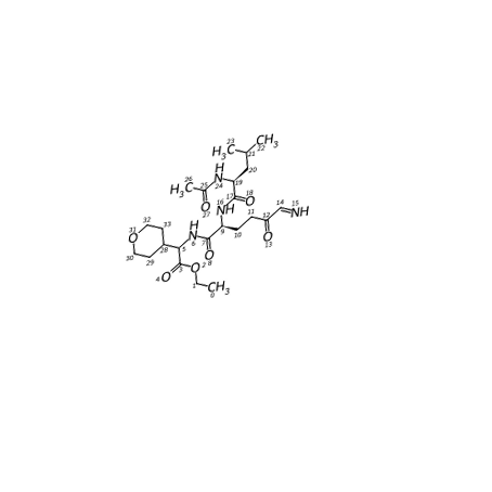 CCOC(=O)C(NC(=O)[C@H](CCC(=O)C=N)NC(=O)[C@H](CC(C)C)NC(C)=O)C1CCOCC1